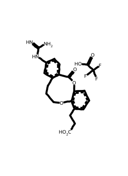 N=C(N)Nc1ccc2c(c1)CCCOc1c(CCC(=O)O)cccc1OC2=O.O=C(O)C(F)(F)F